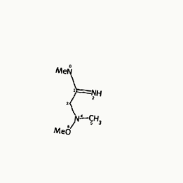 CNC(=N)CN(C)OC